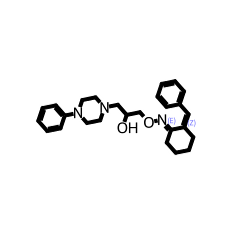 OC(CO/N=C1\CCCC\C1=C\c1ccccc1)CN1CCN(c2ccccc2)CC1